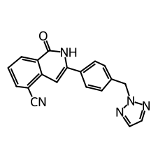 N#Cc1cccc2c(=O)[nH]c(-c3ccc(Cn4nccn4)cc3)cc12